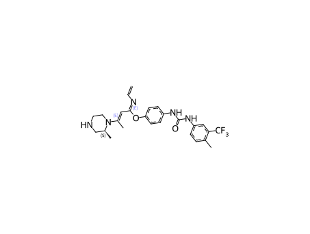 C=C/N=C(\C=C(/C)N1CCNC[C@@H]1C)Oc1ccc(NC(=O)Nc2ccc(C)c(C(F)(F)F)c2)cc1